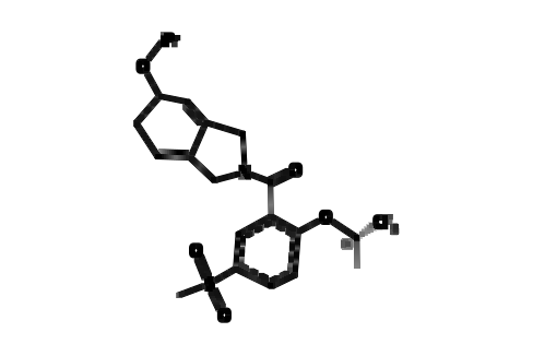 CC(C)OC1C=C2CN(C(=O)c3cc(S(C)(=O)=O)ccc3O[C@@H](C)C(F)(F)F)CC2=CC1